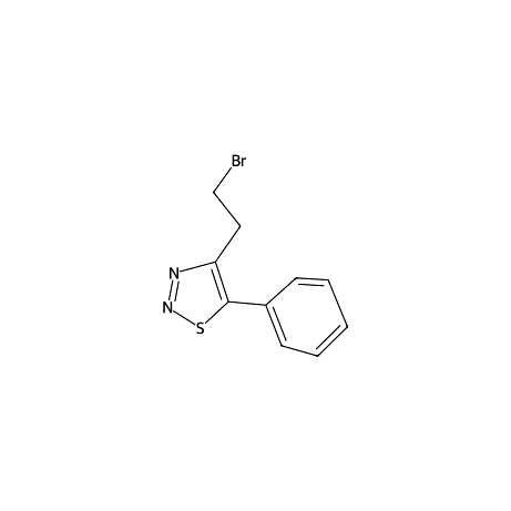 BrCCc1nnsc1-c1ccccc1